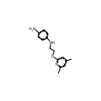 Cc1cc(C)nc(OCCNc2ccc(N)cc2)c1